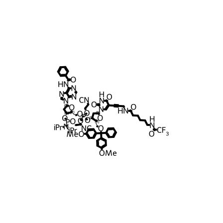 [C-]#[N+]CCOP(O[C@@H]1C[C@H](n2cnc3c(NC(=O)c4ccccc4)ncnc32)O[C@@H]1COP(=O)(OCC[N+]#[C-])O[C@@H]1C[C@H](n2cc(C#CCNC(=O)CCCCCNC(=O)C(F)(F)F)c(=O)[nH]c2=O)O[C@@H]1COC(c1ccccc1)(c1ccc(OC)cc1)c1ccc(OC)cc1)N(C(C)C)C(C)C